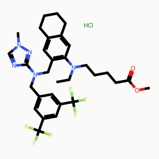 CCN(CCCCC(=O)OC)c1cc2c(cc1CN(Cc1cc(C(F)(F)F)cc(C(F)(F)F)c1)c1ncn(C)n1)CCCC2.Cl